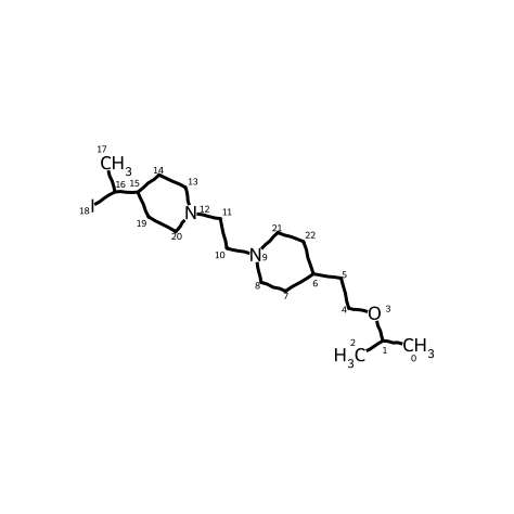 CC(C)OCCC1CCN(CCN2CCC(C(C)I)CC2)CC1